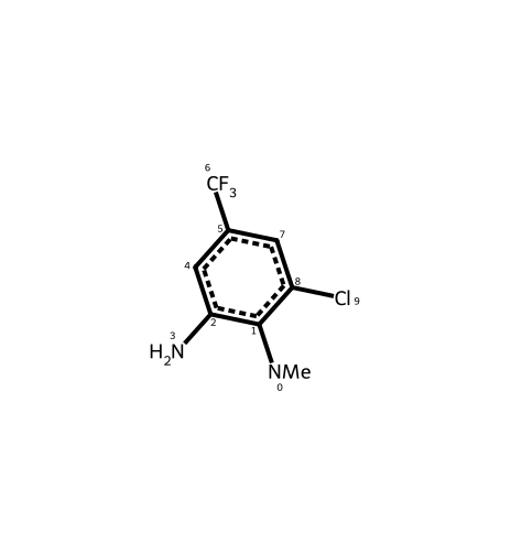 CNc1c(N)cc(C(F)(F)F)cc1Cl